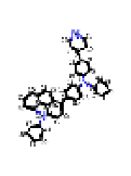 c1ccc(N(c2ccc(-c3ccncc3)cc2)c2ccc(-c3ccc4c5c3ccc3cccc(c35)n4-c3ccccc3)cc2)cc1